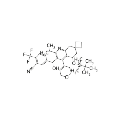 CC(C)c1nc2c(c(C3=CCOCC3)c1[C@H](O)c1ccc(C(F)(F)F)c(C#N)c1)[C@@H](O[Si](C)(C)C(C)(C)C)CC1(CCC1)C2